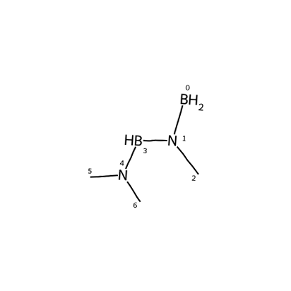 BN(C)BN(C)C